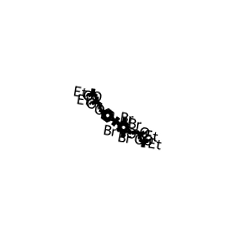 CCOC(C)OC(COc1ccc(C(C)(C)c2c(Br)c(Br)c(OCC(OCC)OC(C)OCC)c(Br)c2Br)cc1)OCC